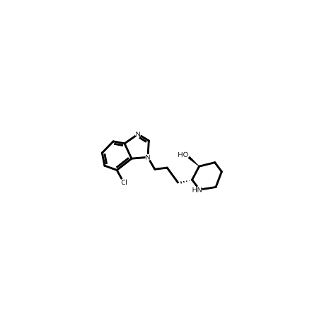 O[C@H]1CCCN[C@@H]1CCCn1cnc2cccc(Cl)c21